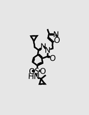 Cc1cc(Cn2nc(CC3CC3)c3ccc(S(=O)(=O)NC4(C)CC4)cc3c2=O)on1